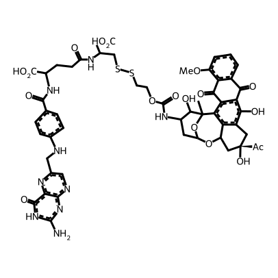 COc1cccc2c1C(=O)c1c(c(O)c3c4c1C1(C)OC(CC(NC(=O)OCCSSCC(NC(=O)CCC(NC(=O)c5ccc(NCc6cnc7nc(N)[nH]c(=O)c7n6)cc5)C(=O)O)C(=O)O)C1O)OC4C[C@](O)(C(C)=O)C3)C2=O